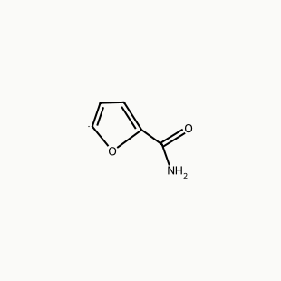 NC(=O)c1cc[c]o1